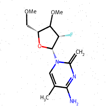 C=C1N=C(N)C(C)=CN1[C@@H]1O[C@H](COC)C(OC)[C@@H]1F